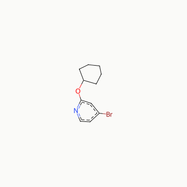 Brc1ccnc(OC2CCCCC2)c1